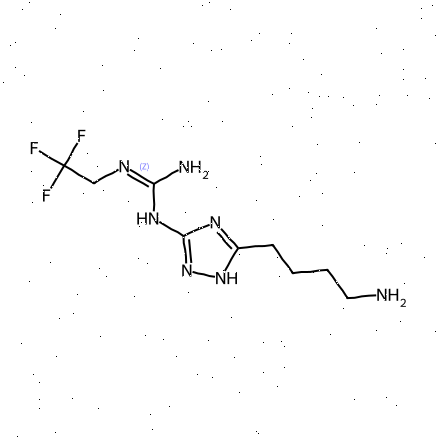 NCCCCc1nc(N/C(N)=N\CC(F)(F)F)n[nH]1